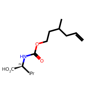 C=CCC(C)CCOC(=O)N[C@H](C(=O)O)C(C)C